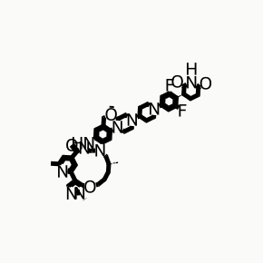 COCc1cc2c(cc1N1CCN(C3CCN(c4cc(F)c([C@H]5CCC(=O)NC5=O)c(F)c4)CC3)CC1)N1C[C@H](C)CCCOc3c(cnn3C)-c3cc(cc(C)n3)C(=O)/N=C/1N2